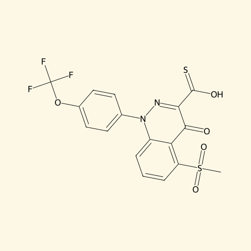 CS(=O)(=O)c1cccc2c1c(=O)c(C(O)=S)nn2-c1ccc(OC(F)(F)F)cc1